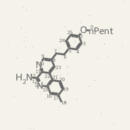 CCCCCOc1ccc(CCc2cnc3c(N)nc4cc(C)ccc4c3c2)cc1